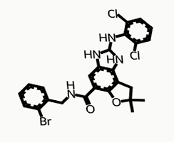 CC1(C)Cc2c3c(cc(C(=O)NCc4ccccc4Br)c2O1)NC(Nc1c(Cl)cccc1Cl)N3